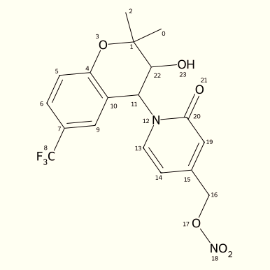 CC1(C)Oc2ccc(C(F)(F)F)cc2C(n2ccc(CO[N+](=O)[O-])cc2=O)C1O